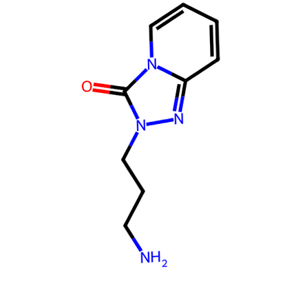 NCCCn1nc2ccccn2c1=O